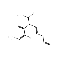 C=CC/C=C/C(C(=C)/C(N)=C\N)C(C)CCCCC